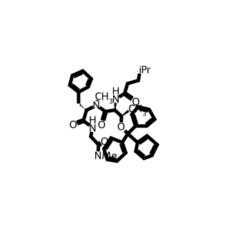 CNC(=O)CNC(=O)[C@H](Cc1ccccc1)N(C)C(=O)[C@@H](NC(=O)CCC(C)C)[C@@H](C)OC(c1ccccc1)(c1ccccc1)c1ccccc1